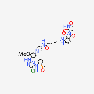 COc1cc(N2CCC(NC(=O)CCCCCCNc3cccc4c3C(=O)N(C3CCC(=O)NC3=O)C4=O)CC2)ccc1Nc1ncc(Cl)c(Nc2ccccc2P(C)(C)=O)n1